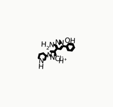 Nc1nnc(-c2ccccc2O)cc1-c1cnn(C2CCCNC2)c1.[Cl-].[H+]